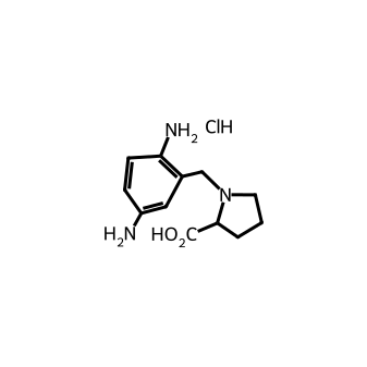 Cl.Nc1ccc(N)c(CN2CCCC2C(=O)O)c1